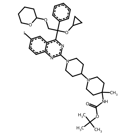 CC1(NC(=O)OC(C)(C)C)CCN(C2CCN(c3nc(C(COC4CCCCO4)(OC4CC4)c4ccccc4)c4cc(I)ccc4n3)CC2)CC1